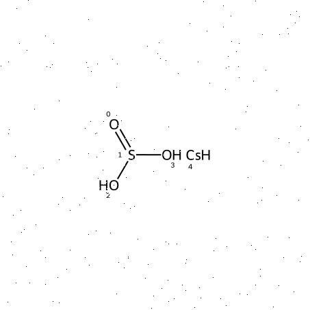 O=S(O)O.[CsH]